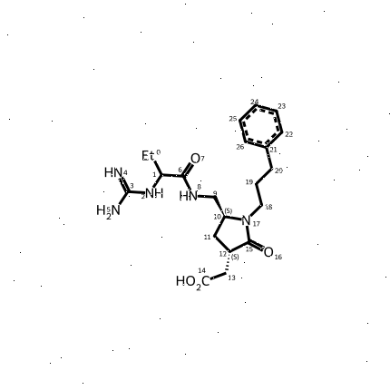 CCC(NC(=N)N)C(=O)NC[C@@H]1C[C@@H](CC(=O)O)C(=O)N1CCCc1ccccc1